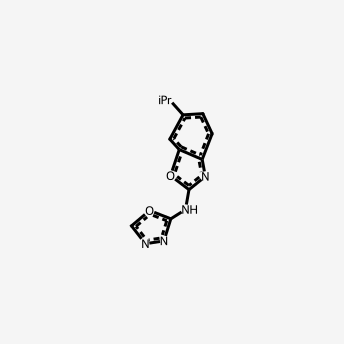 CC(C)c1ccc2nc(Nc3nnco3)oc2c1